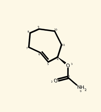 NC(=O)O[C@H]1/C=C/CCCCC1